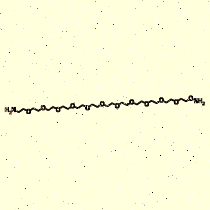 NCCOCCOCCOCCOCCOCCOCCOCCOCCOCCOCCOCCON